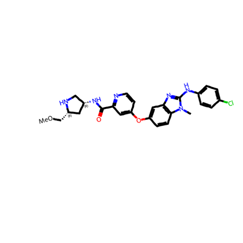 COC[C@H]1C[C@@H](NC(=O)c2cc(Oc3ccc4c(c3)nc(Nc3ccc(Cl)cc3)n4C)ccn2)CN1